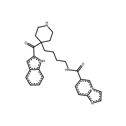 O=C(NCCCCC1(C(=O)c2cc3ccccc3[nH]2)CCNCC1)c1ccc2nccn2c1